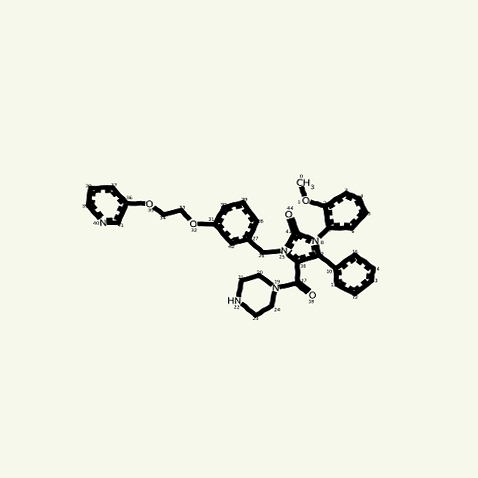 COc1ccccc1-n1c(-c2ccccc2)c(C(=O)N2CCNCC2)n(Cc2cccc(OCCOc3cccnc3)c2)c1=O